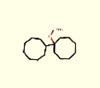 CCCCCOC1(C2CCCCCCC2)CCCCCCC1